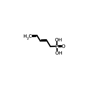 C=CC=CCP(=O)(O)O